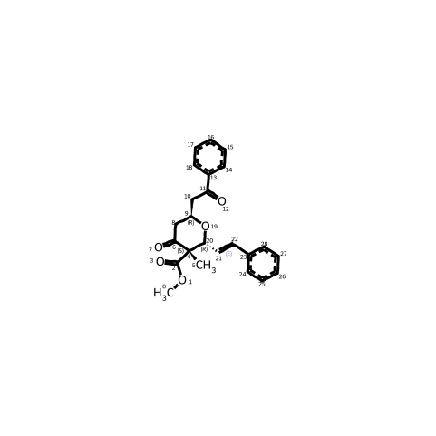 COC(=O)[C@]1(C)C(=O)C[C@@H](CC(=O)c2ccccc2)O[C@@H]1/C=C/c1ccccc1